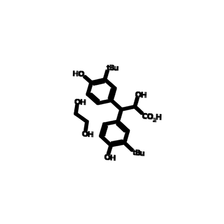 CC(C)(C)c1cc(C(c2ccc(O)c(C(C)(C)C)c2)C(O)C(=O)O)ccc1O.OCCO